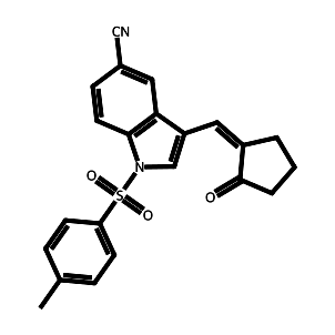 Cc1ccc(S(=O)(=O)n2cc(C=C3CCCC3=O)c3cc(C#N)ccc32)cc1